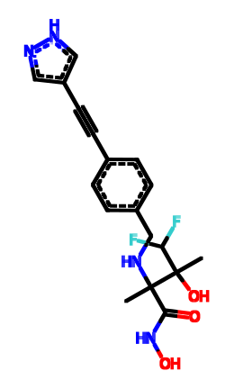 CC(NCc1ccc(C#Cc2cn[nH]c2)cc1)(C(=O)NO)C(C)(O)C(F)F